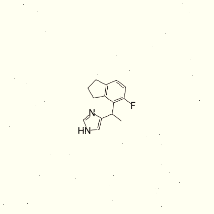 CC(c1c[nH]cn1)c1c(F)ccc2c1CCC2